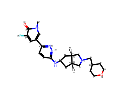 Cn1cc(-c2ccc(NC3C[C@@H]4CN(CC5CCOCC5)C[C@@H]4C3)nn2)cc(F)c1=O